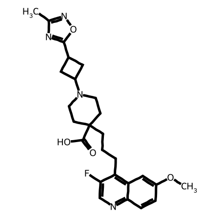 COc1ccc2ncc(F)c(CCCC3(C(=O)O)CCN(C4CC(c5nc(C)no5)C4)CC3)c2c1